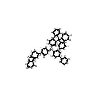 c1ccc(-c2ccc(N(c3ccc(-c4ccc5sc6ccccc6c5c4)cc3)c3ccc4c(c3)C(c3ccccc3)(c3ccccc3)c3ccccc3-4)cc2)cc1